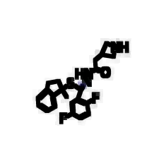 CC1(S/C(=N\NC(=O)CC2CNC2)c2cc(F)ccc2F)CCc2ccccc21